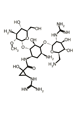 CO[C@H]1[C@@H](O[C@H]2[C@H](NC(=O)C3(O)CC3NC(=N)N)C[C@H](N)C(O[C@H]3O[C@H](CN)[C@@H](O)[C@H](O)[C@H]3NC(=N)N)[C@@H]2O)O[C@H](CO)[C@@H](O)[C@@H]1N